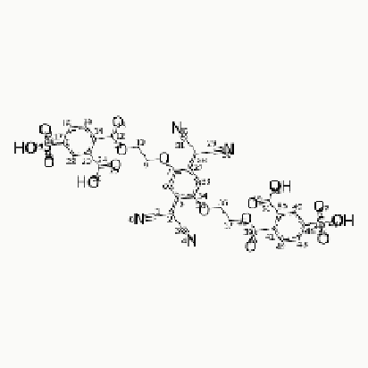 N#CC(C#N)=c1cc(OCCOC(=O)c2ccc(S(=O)(=O)O)cc2C(=O)O)c(=C(C#N)C#N)cc1OCCOC(=O)c1ccc(S(=O)(=O)O)cc1C(=O)O